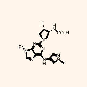 CC(C)n1cnc2c(Nc3cnn(C)c3)nc(N3C[C@H](F)[C@H](NC(=O)O)C3)nc21